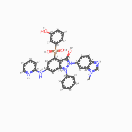 Cn1cnc2ccc(-n3c(=O)c4c(S(=O)(=O)c5cccc(O)c5)cc(Nc5ccccn5)cc4n3-c3ccccc3)cc21